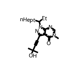 CCCCCCCC(CC)n1nc(C#CC(C)(C)O)c2c(=O)n(C)cnc21